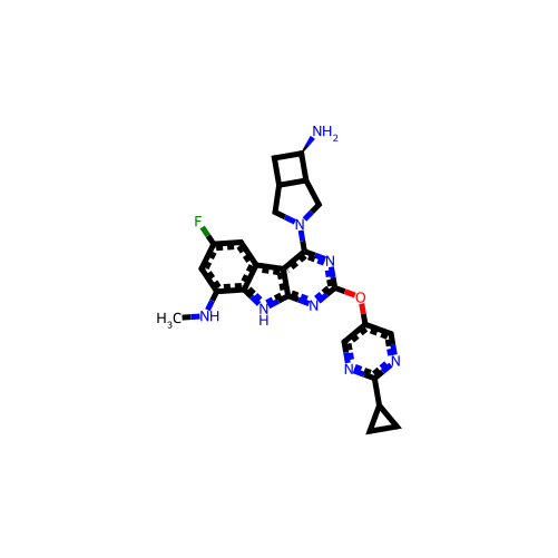 CNc1cc(F)cc2c1[nH]c1nc(Oc3cnc(C4CC4)nc3)nc(N3CC4C[C@@H](N)C4C3)c12